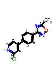 FC(F)(F)c1nc(-c2ccc(-c3ccnc(Cl)c3)cc2)no1